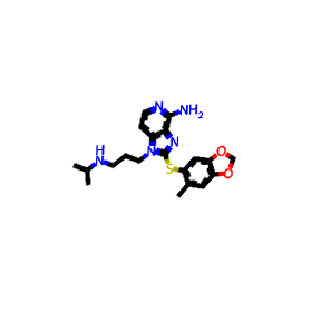 Cc1cc2c(cc1Sc1nc3c(N)nccc3n1CCCNC(C)C)OCO2